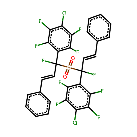 O=S(=O)(C(F)(C=Cc1ccccc1)c1c(F)c(F)c(Cl)c(F)c1F)C(F)(C=Cc1ccccc1)c1c(F)c(F)c(Cl)c(F)c1F